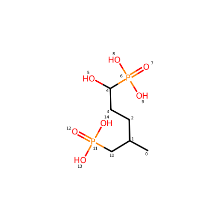 CC(CCC(O)P(=O)(O)O)CP(=O)(O)O